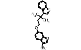 CC(C)(C)c1coc2cc(OCCC(C)(C)c3csc4ccccc34)ccc12